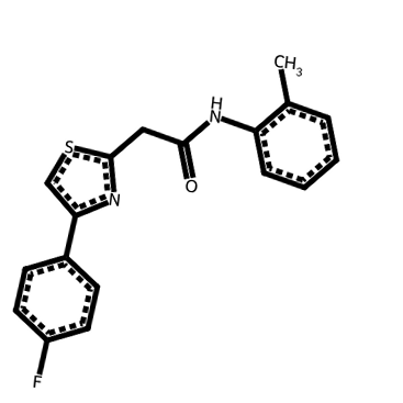 Cc1ccccc1NC(=O)Cc1nc(-c2ccc(F)cc2)cs1